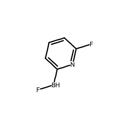 FBc1cccc(F)n1